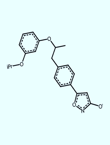 CC(C)Oc1cccc(OC(C)Cc2ccc(-c3cc(O)no3)cc2)c1